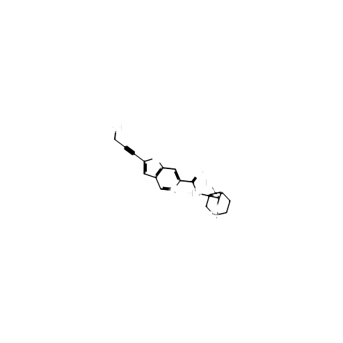 O=C(N[C@H]1CN2CCC1CC2)c1cc2sc(C#CCO)cc2cn1